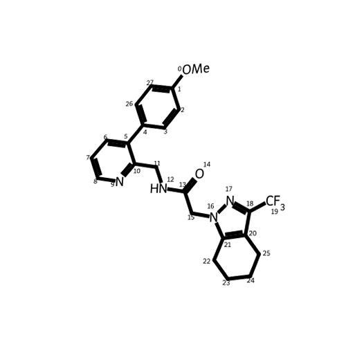 COc1ccc(-c2cccnc2CNC(=O)Cn2nc(C(F)(F)F)c3c2CCCC3)cc1